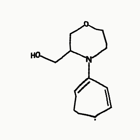 OCC1COCCN1C1=CC[CH]C=C1